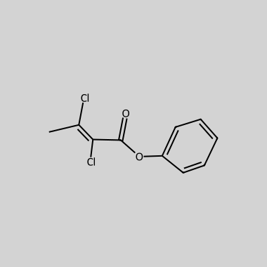 CC(Cl)=C(Cl)C(=O)Oc1ccccc1